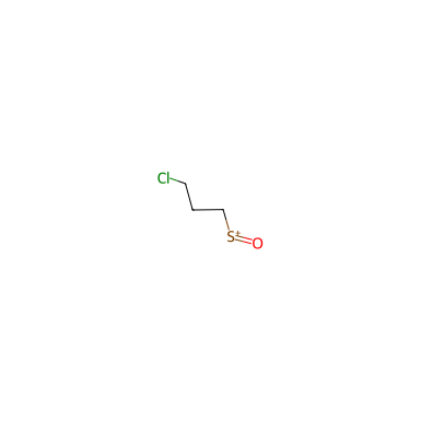 O=[S+]CCCCl